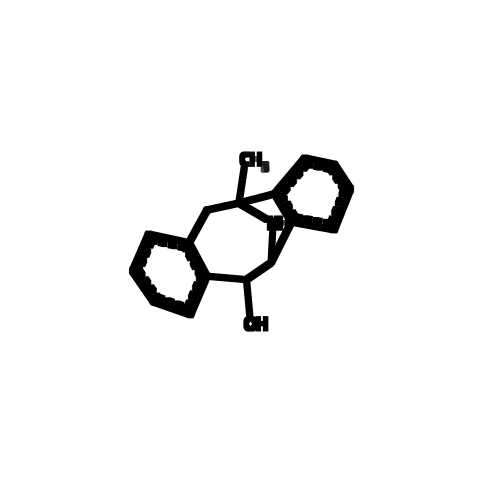 CC12Cc3ccccc3C(O)C(N1)c1ccccc12